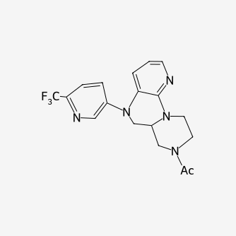 CC(=O)N1CCN2c3ncccc3N(c3ccc(C(F)(F)F)nc3)CC2C1